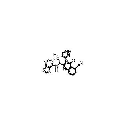 CC[C@H](Nc1ncnc2scnc12)c1nc2cccc(C#N)c2c(=O)n1-c1cc[nH]n1